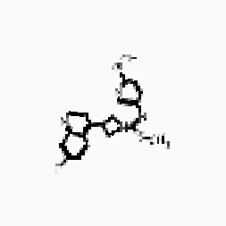 COc1ccc(/N=C(/SC)N2CC(c3ccnc4cc(F)ccc34)C2)cn1